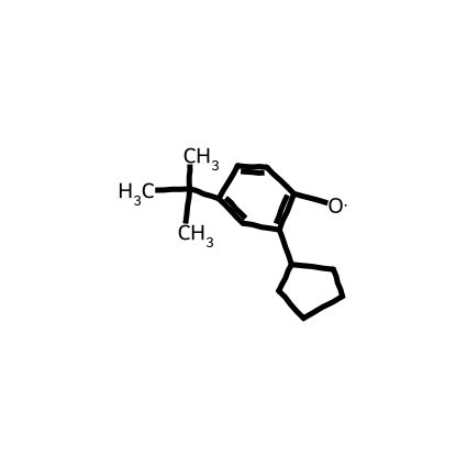 CC(C)(C)c1ccc([O])c(C2CCCC2)c1